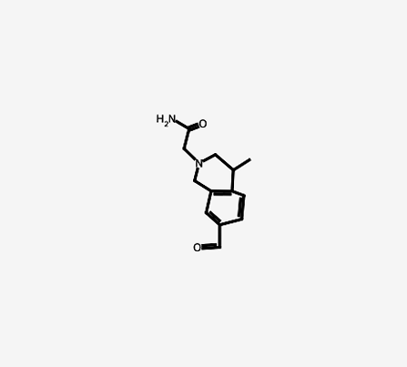 CC1CN(CC(N)=O)Cc2cc(C=O)ccc21